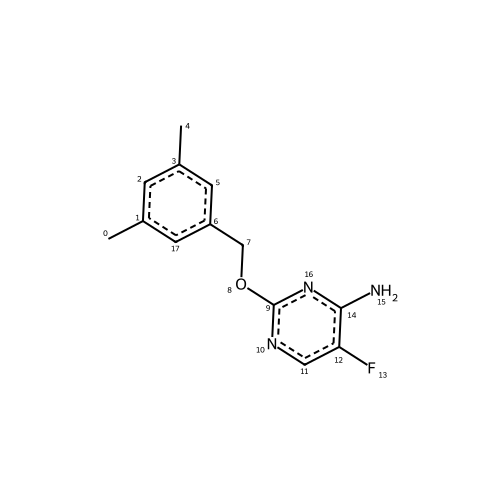 Cc1cc(C)cc(COc2ncc(F)c(N)n2)c1